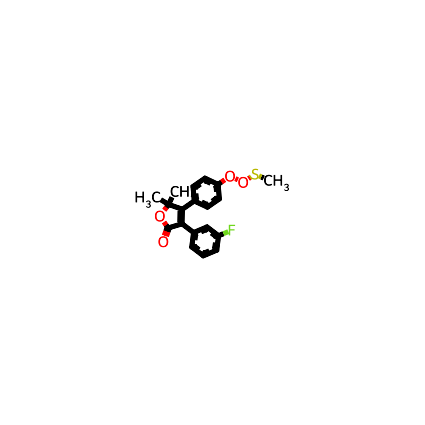 CSOOc1ccc(C2=C(c3cccc(F)c3)C(=O)OC2(C)C)cc1